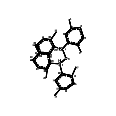 Cc1ccc(C)c([SiH](O[SiH](c2cc(C)ccc2C)c2cc(C)ccc2C)c2cc(C)ccc2C)c1